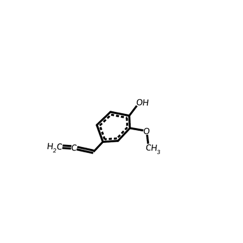 C=C=Cc1ccc(O)c(OC)c1